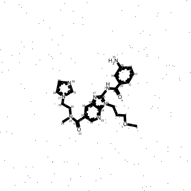 COCCCn1c(NC(=O)c2cccc(N)c2)nc2cc(C(=O)N(C)CCn3ccnc3)cnc21